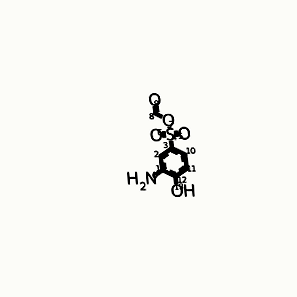 Nc1cc(S(=O)(=O)OC=O)ccc1O